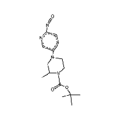 CC1CN(c2ccc(N=O)nc2)CCN1C(=O)OC(C)(C)C